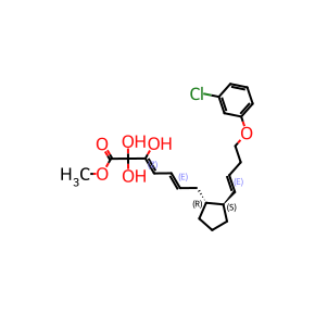 COC(=O)C(O)(O)/C(O)=C/C=C/C[C@H]1CCC[C@@H]1/C=C/CCOc1cccc(Cl)c1